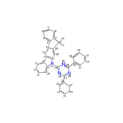 CC1(C)c2ccccc2-c2cc3c4ccccc4n(-c4nc(C5=CC=CCC5)nc(-c5ccccc5)n4)c3cc21